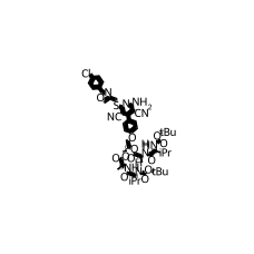 CC(C)[C@H](NC(=O)OC(C)(C)C)C(=O)N[C@@H](C)C(=O)OC[C@H](COc1ccc(-c2c(C#N)c(N)nc(SCc3coc(-c4ccc(Cl)cc4)n3)c2C#N)cc1)OC(=O)[C@H](C)NC(=O)[C@@H](NC(=O)OC(C)(C)C)C(C)C